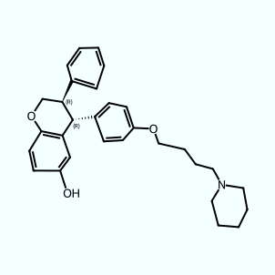 Oc1ccc2c(c1)[C@@H](c1ccc(OCCCCN3CCCCC3)cc1)[C@H](c1ccccc1)CO2